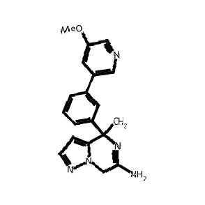 COc1cncc(-c2cccc(C3(C)N=C(N)Cn4nccc43)c2)c1